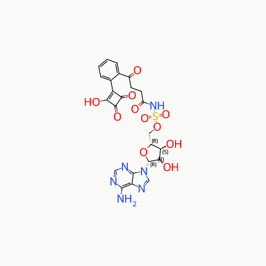 Nc1ncnc2c1ncn2[C@@H]1O[C@H](COS(=O)(=O)NC(=O)CCC(=O)c2ccccc2-c2c(O)c(=O)c2=O)[C@@H](O)[C@H]1O